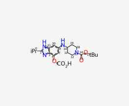 CC(C)c1nc2c(OC(=O)O)cc(NC3CCN(C(=O)OC(C)(C)C)CC3)cc2[nH]1